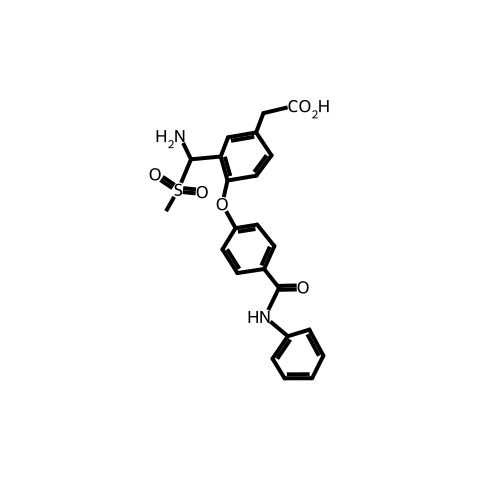 CS(=O)(=O)C(N)c1cc(CC(=O)O)ccc1Oc1ccc(C(=O)Nc2ccccc2)cc1